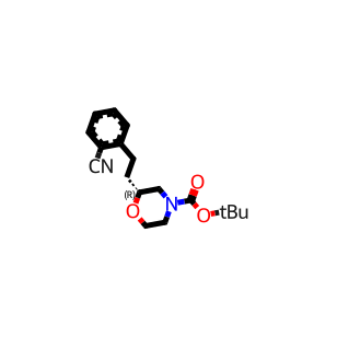 CC(C)(C)OC(=O)N1CCO[C@H](CCc2ccccc2C#N)C1